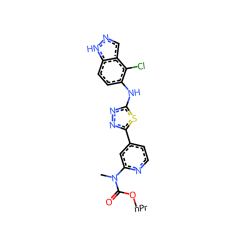 CCCOC(=O)N(C)c1cc(-c2nnc(Nc3ccc4[nH]ncc4c3Cl)s2)ccn1